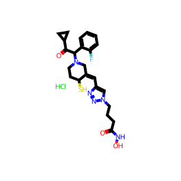 Cl.O=C(CCCn1cc(/C=C2/CN(C(C(=O)C3CC3)c3ccccc3F)CCC2S)nn1)NO